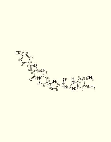 Cc1cc2nc(NC(=O)c3csc(C4CCN(C(=O)c5cc(-c6ccc(Cl)cc6)oc5C(F)(F)F)CC4)n3)[nH]c2cc1C